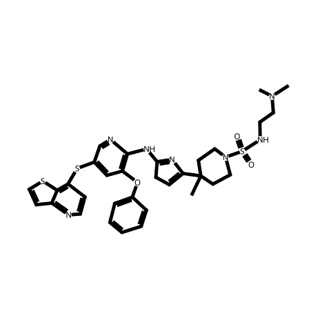 CN(C)CCNS(=O)(=O)N1CCC(C)(C2=CCC(Nc3ncc(Sc4ccnc5ccsc45)cc3Oc3ccccc3)=N2)CC1